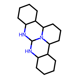 C1CCC2C(C1)NC1NC3CCCCC3C3CCCC2N13